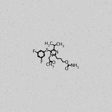 CC(=O)Cn1c(CCCOC(N)=O)nc(C(C)C)c1Sc1cc(F)cc(F)c1